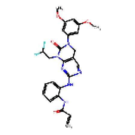 C=CC(=O)Nc1ccccc1Nc1ncc2c(n1)N(CC(F)F)C(=O)N(c1cc(OC)cc(OC)c1)C2